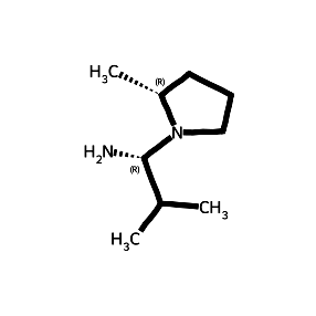 CC(C)[C@H](N)N1CCC[C@H]1C